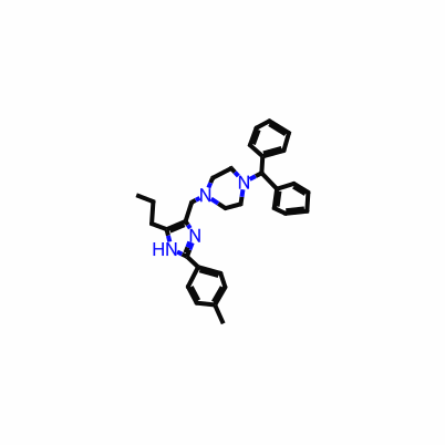 CCCc1[nH]c(-c2ccc(C)cc2)nc1CN1CCN(C(c2ccccc2)c2ccccc2)CC1